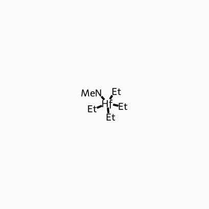 C[CH2][Hf]([CH2]C)([CH2]C)([CH2]C)[NH]C